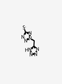 [S]c1nnn(Cc2nnn[nH]2)n1